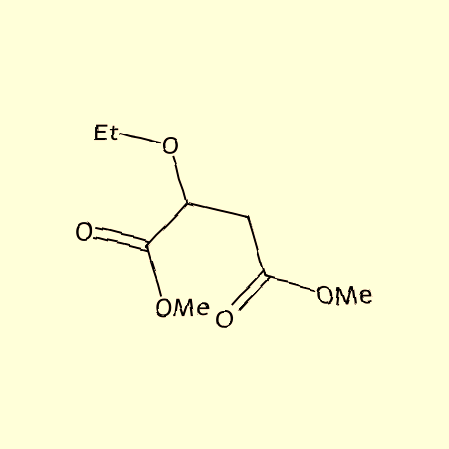 CCOC(CC(=O)OC)C(=O)OC